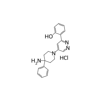 Cl.NC1(c2ccccc2)CCN(c2cnnc(-c3ccccc3O)c2)CC1